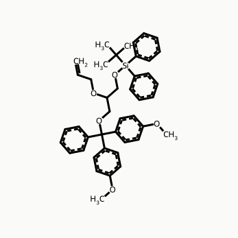 C=CCOC(COC(c1ccccc1)(c1ccc(OC)cc1)c1ccc(OC)cc1)CO[Si](c1ccccc1)(c1ccccc1)C(C)(C)C